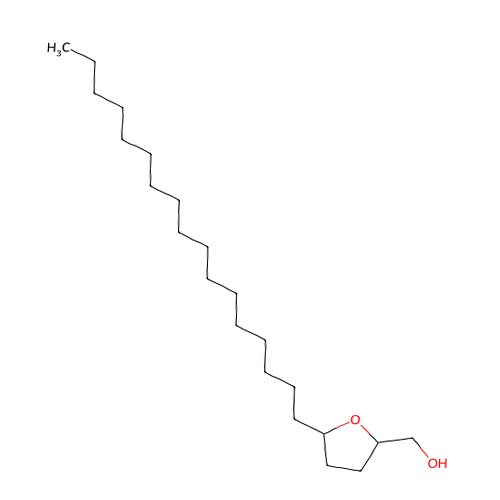 CCCCCCCCCCCCCCCCCC1CCC(CO)O1